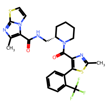 Cc1nc(C(=O)N2CCCC[C@H]2CNC(=O)c2c(C)nc3sccn23)c(-c2ccccc2C(F)(F)F)s1